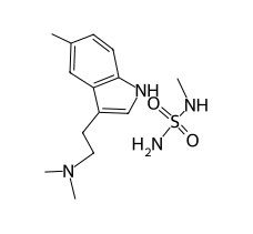 CNS(N)(=O)=O.Cc1ccc2[nH]cc(CCN(C)C)c2c1